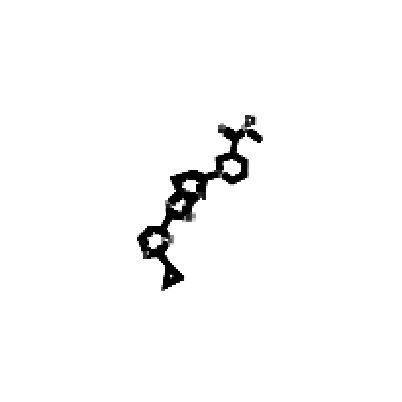 CCN(C)C(=O)C1CCCN(c2ccc3nc(-c4ccnc(C5CC5)n4)[nH]c3n2)C1